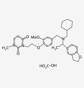 COc1cc(CN(CC2CCCCC2)C(C)c2ccc3c(c2)CCO3)ccc1OCCn1c(=O)ccn(C)c1=O.O=C(O)O